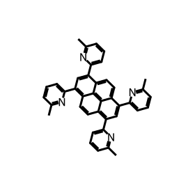 Cc1cccc(-c2cc(-c3cccc(C)n3)c3ccc4c(-c5cccc(C)n5)cc(-c5cccc(C)n5)c5ccc2c3c54)n1